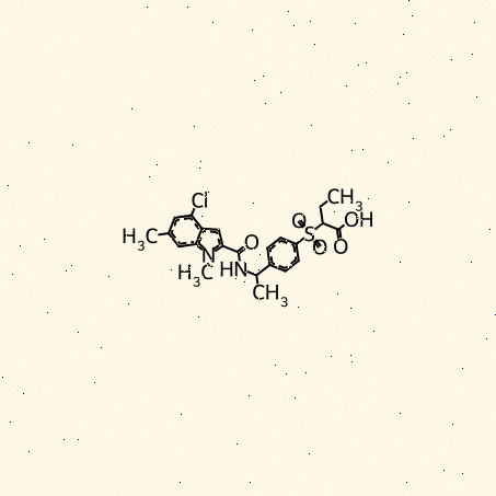 CCC(C(=O)O)S(=O)(=O)c1ccc(C(C)NC(=O)c2cc3c(Cl)cc(C)cc3n2C)cc1